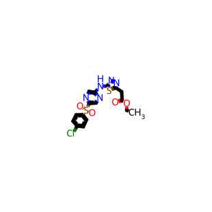 CCOC(=O)Cc1nnc(Nc2cnc(S(=O)(=O)c3ccc(Cl)cc3)cn2)s1